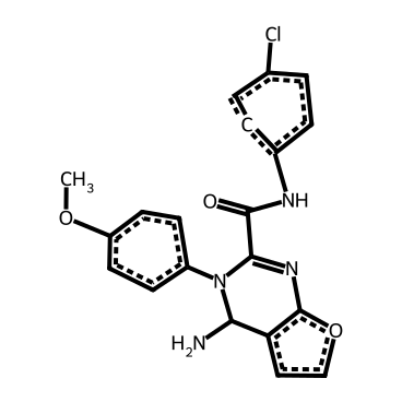 COc1ccc(N2C(C(=O)Nc3ccc(Cl)cc3)=Nc3occc3C2N)cc1